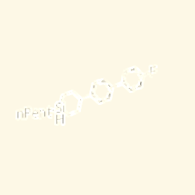 CCCCC[Si@H]1CC[C@H](c2ccc(-c3ccc(F)cc3)cc2)CC1